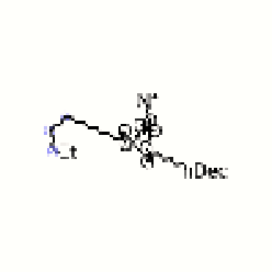 CC/C=C\C/C=C\C/C=C\CCCCCCCC(=O)O[C@H](COC(=O)CCCCCCCCCCCCCCC)COP(=O)([O-])OCC[N+](C)(C)C